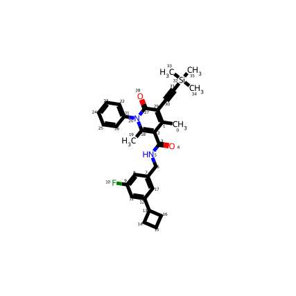 Cc1c(C(=O)NCc2cc(F)cc(C3CCC3)c2)c(C)n(-c2ccccc2)c(=O)c1C#C[Si](C)(C)C